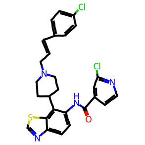 O=C(Nc1ccc2ncsc2c1C1CCN(C/C=C/c2ccc(Cl)cc2)CC1)c1ccnc(Cl)c1